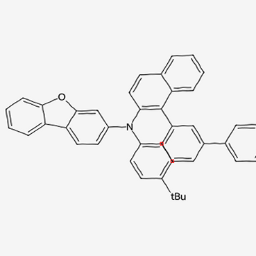 CC(C)(C)c1ccc(N(c2ccc3c(c2)oc2ccccc23)c2ccc3ccccc3c2-c2cccc(-c3ccccc3)c2)cc1